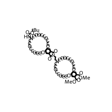 COC(=O)c1cc2c(cc1C(=O)OC)OCCOCCOCCN(CCN1C(=O)c3cc4c(cc3C1=O)OCCOCCOCCN(NC(=O)OC(C)(C)C)CCOCCOCCO4)CCOCCOCCO2